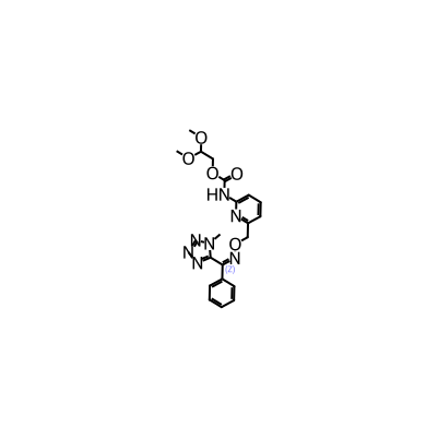 COC(COC(=O)Nc1cccc(CO/N=C(/c2ccccc2)c2nnnn2C)n1)OC